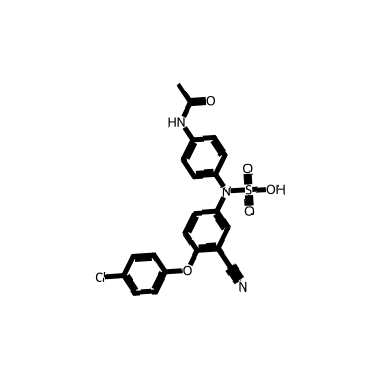 CC(=O)Nc1ccc(N(c2ccc(Oc3ccc(Cl)cc3)c(C#N)c2)S(=O)(=O)O)cc1